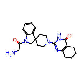 NCC(=O)N1CC2(CCN(c3nc4c(c(=O)[nH]3)CCCC4)CC2)c2ccccc21